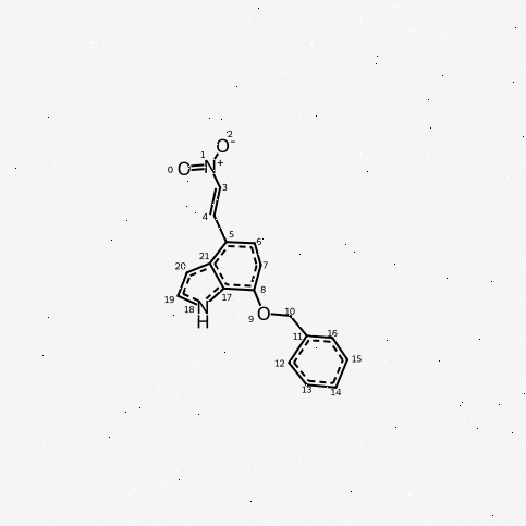 O=[N+]([O-])/C=C/c1ccc(OCc2ccccc2)c2[nH]ccc12